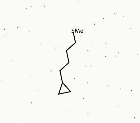 CSCCCCC1[CH]C1